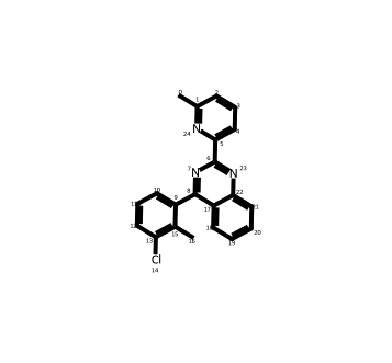 Cc1cccc(-c2nc(-c3cccc(Cl)c3C)c3ccccc3n2)n1